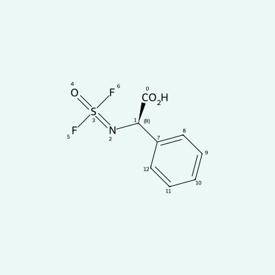 O=C(O)[C@H](N=S(=O)(F)F)c1ccccc1